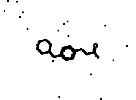 CC(=O)CCc1ccc(CC2CCCCC2)cc1